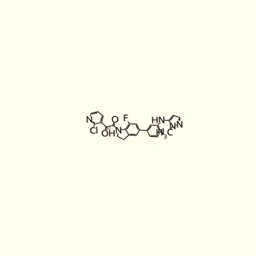 Cn1nccc1Nc1cc(-c2cc(F)c3c(c2)CCN3C(=O)[C@@H](O)c2cccnc2Cl)ccn1